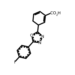 O=C(O)C1=CC(c2nnc(-c3ccc(I)cc3)o2)CC=C1